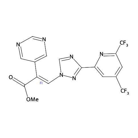 COC(=O)/C(=C/n1cnc(-c2cc(C(F)(F)F)cc(C(F)(F)F)n2)n1)c1cncnc1